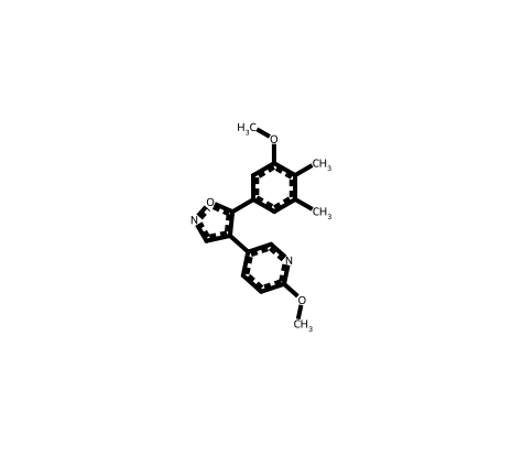 COc1ccc(-c2cnoc2-c2cc(C)c(C)c(OC)c2)cn1